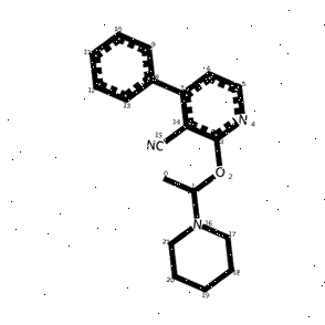 CC(Oc1nccc(-c2ccccc2)c1C#N)N1CCCCC1